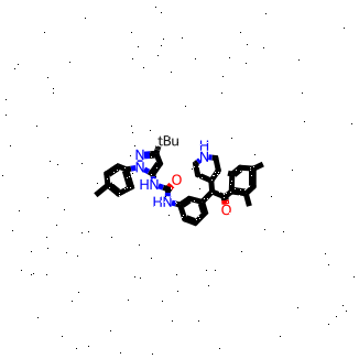 Cc1ccc(-n2nc(C(C)(C)C)cc2NC(=O)Nc2cccc(C(C(=O)c3c(C)cc(C)cc3C)C3CCNCC3)c2)cc1